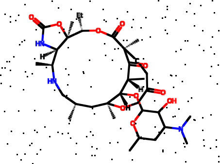 CC[C@@H]1OC(=O)[C@@]2(C)CCC(=O)CO[C@@](C)(C[C@H](C)CN[C@@H](C)[C@H]3NC(=O)O[C@@]13C)[C@@H](OC1OC(C)CC(N(C)C)C1O)[C@@H](C)C2=O